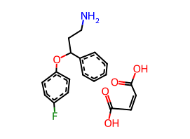 NCCC(Oc1ccc(F)cc1)c1ccccc1.O=C(O)/C=C\C(=O)O